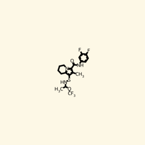 Cc1c(SNC(C)OC(F)(F)F)c2n(c1C(=O)Nc1ccc(F)c(F)c1)CCCC2